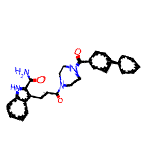 NC(=O)c1[nH]c2ccccc2c1C[CH]C(=O)N1CCN(C(=O)c2ccc(-c3ccccc3)cc2)CC1